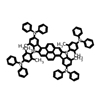 Cc1cc(N(c2ccccc2)c2ccccc2)cc(C)c1B1c2cc3ccc4c5c(cc6ccc(c2-c2cc(N(c7ccccc7)c7ccccc7)cc(C)c21)c3c64)B(c1c(C)cc(N(c2ccccc2)c2ccccc2)cc1C)c1c(C)cc(N(c2ccccc2)c2ccccc2)cc1-5